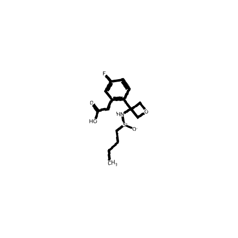 CCCC[S+]([O-])NC1(c2ccc(F)cc2CC(=O)O)COC1